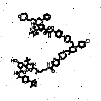 Cc1ncsc1-c1ccc([C@H](C)NC(=O)[C@@H]2C[C@@H](O)CN2C(=O)C(NC(=O)CN(C)CCCNC(=O)c2ccc(N3CCN(CC4(C)CCC(c5ccc(Cl)cc5)=C(CN5CCN(c6ccc(C(=O)NS(=O)(=O)c7ccc(NC(CCN8CCCOCC8)CSc8ccccc8)c(S(=O)(=O)C(F)(F)F)c7)cc6)CC5)C4)CC3)nn2)C(C)(C)C)cc1